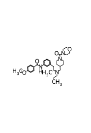 CCCN(CC1CCN(C(=O)N2CCOCC2)CC1)[C@H](C)Cc1cccc(NC(=O)c2ccc(OC)cc2)c1